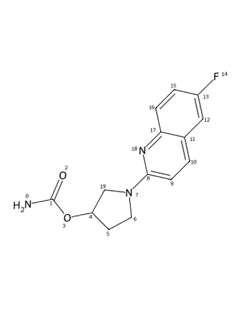 NC(=O)OC1CCN(c2ccc3cc(F)ccc3n2)C1